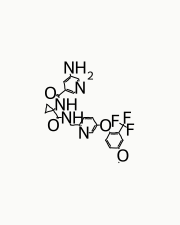 COc1ccc(Oc2ccc(CNC(=O)C3(NC(=O)c4cncc(N)c4)CC3)nc2)c(C(F)(F)F)c1